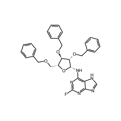 Fc1nc(N[C@@H]2O[C@H](COCc3ccccc3)[C@@H](OCc3ccccc3)[C@@H]2OCc2ccccc2)c2[nH]cnc2n1